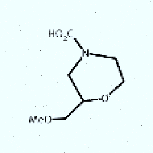 COCC1CN(C(=O)O)CCO1